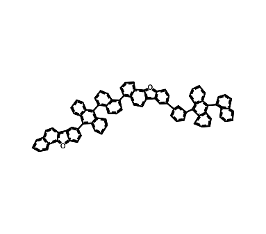 c1cc(-c2ccc3oc4c5cccc(-c6cccc7c(-c8c9ccccc9c(-c9ccc%10oc%11c%12ccccc%12ccc%11c%10c9)c9ccccc89)cccc67)c5ccc4c3c2)cc(-c2c3ccccc3c(-c3cccc4ccccc34)c3ccccc23)c1